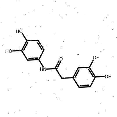 O=C(Cc1ccc(O)c(O)c1)Nc1ccc(O)c(O)c1